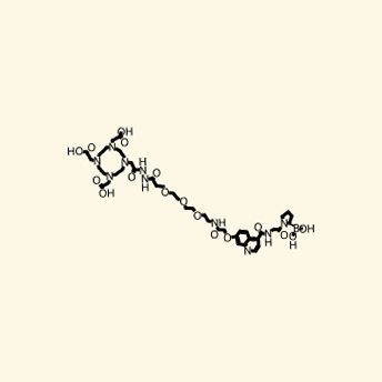 O=C(O)CN1CCN(CC(=O)O)CCN(CC(=O)NNC(=O)CCOCCOCCOCCNC(=O)COc2ccc3c(C(=O)NCC(=O)N4CCC[C@H]4B(O)O)ccnc3c2)CCN(CC(=O)O)CC1